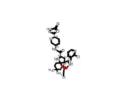 CC1(C)CCC2(CC1)N[C@@H](C(=O)N[C@@H]1CC[C@@H](c3n[nH]c(=O)o3)OC1)[C@H](c1ccnc(Cl)c1F)[C@]21C(=O)Nc2cc(Cl)ccc21